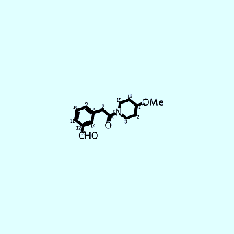 COC1CCN(C(=O)Cc2cccc(C=O)c2)CC1